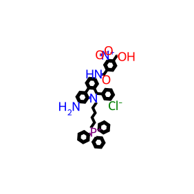 Nc1ccc2c(c1)N(CCCCCC[P+](c1ccccc1)(c1ccccc1)c1ccccc1)C(c1ccccc1)c1cc(NC(=O)c3ccc(CO)c([N+](=O)[O-])c3)ccc1-2.[Cl-]